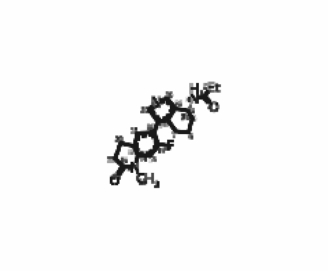 CCC(=O)N[C@@H]1CCCc2c(-c3cc4c(cc3F)N(C)C(=O)CC4)cncc21